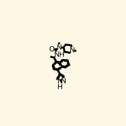 CC(NC(=O)N(C)C1CCN(C)CC1)c1ccc(-c2cn[nH]c2)c2ccccc12